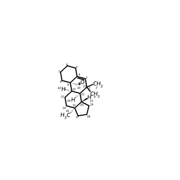 CC1(C)C=C2CCCC[C@]2(C=O)[C@@H]2CC[C@]3(C)CCC[C@H]3[C@@H]21